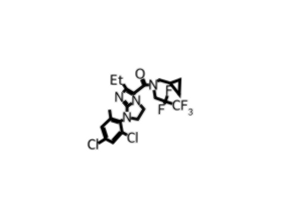 CCc1nc2n(c1C(=O)N(CC1CC1)CC(F)(F)C(F)(F)F)CCN2c1c(C)cc(Cl)cc1Cl